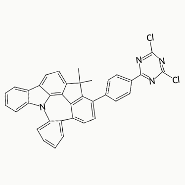 CC1(C)c2ccc3c4ccccc4n4c3c2-c2c(ccc(-c3ccc(-c5nc(Cl)nc(Cl)n5)cc3)c21)-c1ccccc1-4